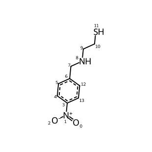 O=[N+]([O-])c1ccc(CNCCS)cc1